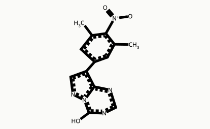 Cc1cc(-c2cnn3c(O)ncnc23)cc(C)c1[N+](=O)[O-]